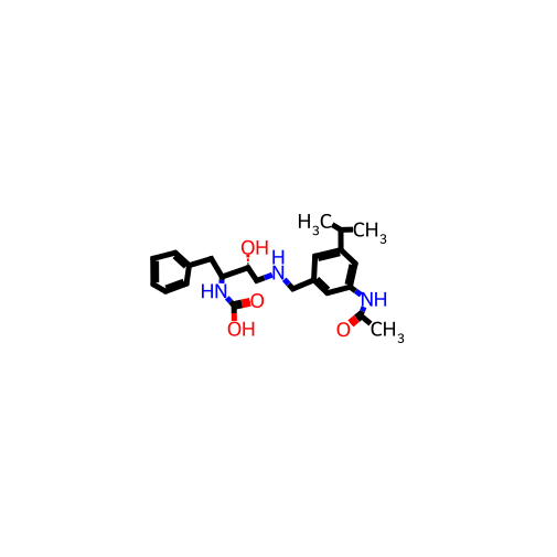 CC(=O)Nc1cc(CNC[C@@H](O)C(Cc2ccccc2)NC(=O)O)cc(C(C)C)c1